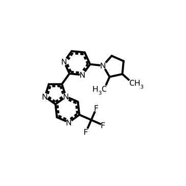 CC1CCN(c2ccnc(-c3cnc4cnc(C(F)(F)F)cn34)n2)C1C